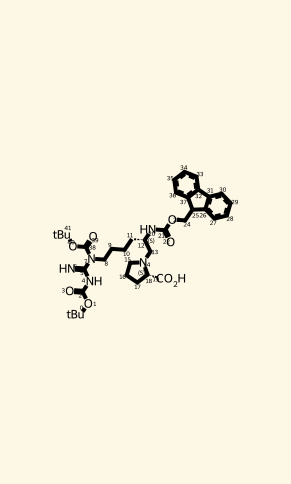 CC(C)(C)OC(=O)NC(=N)N(CCCC[C@@H](CN1CCC[C@H]1C(=O)O)NC(=O)OCC1c2ccccc2-c2ccccc21)C(=O)OC(C)(C)C